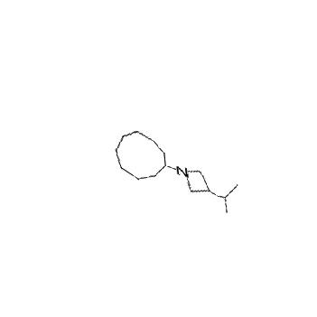 CC(C)C1CN(C2CCCCCCCC2)C1